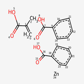 C=C(C)C(=O)O.O=C(O)c1ccccc1.O=C(O)c1ccccc1.[Zn]